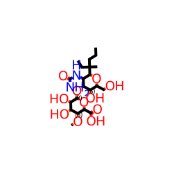 CCCC(C)(CC)C1OC(CO)[C@@H](O)C(O[C@@H]2OC(C(=O)O)[C@@H](OC)C(O)C2O)C1NC(N)=O